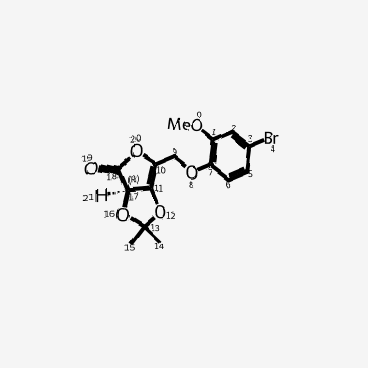 COc1cc(Br)ccc1OCC1=C2OC(C)(C)O[C@H]2C(=O)O1